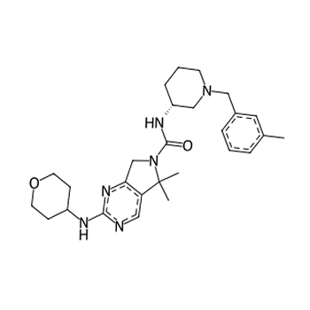 Cc1cccc(CN2CCC[C@@H](NC(=O)N3Cc4nc(NC5CCOCC5)ncc4C3(C)C)C2)c1